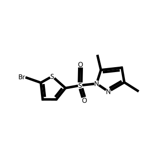 Cc1cc(C)n(S(=O)(=O)c2ccc(Br)s2)n1